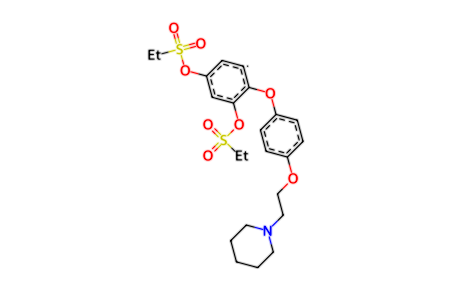 CCS(=O)(=O)Oc1c[c]c(Oc2ccc(OCCN3CCCCC3)cc2)c(OS(=O)(=O)CC)c1